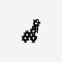 O=C(CNCC1(O)CCOCC1)N1CCc2ccccc2C1C1CCCCC1